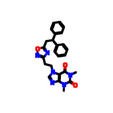 Cn1c(=O)c2c(ncn2CCc2noc(CC(c3ccccc3)c3ccccc3)n2)n(C)c1=O